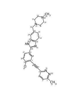 Cc1ccc(C#Cc2cc(-c3nc4ccc(CN5CCN(C)CC5)cc4[nH]3)ccc2Cl)nn1